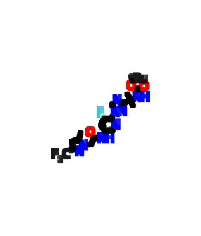 Cc1cc(C(F)(F)F)nn1CC(=O)Nc1cnc(-n2cnc(C(C)(C)NC(=O)OC(C)(C)C)n2)c(F)c1